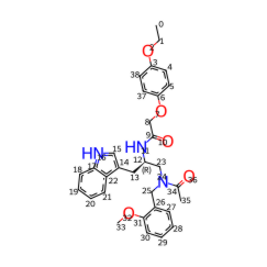 CCOc1ccc(OCC(=O)N[C@H](Cc2c[nH]c3ccccc23)CN(Cc2ccccc2OC)C(C)=O)cc1